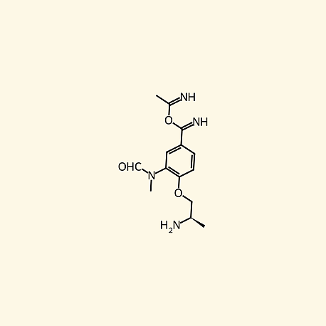 CC(=N)OC(=N)c1ccc(OC[C@@H](C)N)c(N(C)C=O)c1